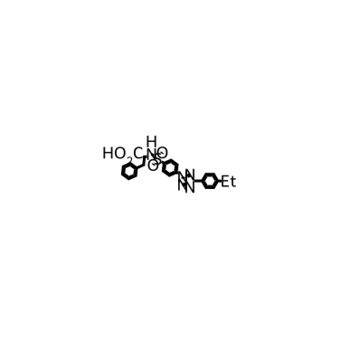 CCc1ccc(-c2nnn(-c3ccc(S(=O)(=O)NC(Cc4ccccc4)C(=O)O)cc3)n2)cc1